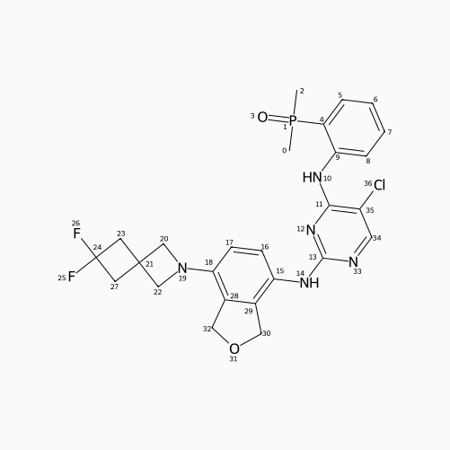 CP(C)(=O)c1ccccc1Nc1nc(Nc2ccc(N3CC4(C3)CC(F)(F)C4)c3c2COC3)ncc1Cl